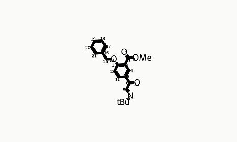 COC(=O)c1cc(C(=O)C=NC(C)(C)C)ccc1OCc1ccccc1